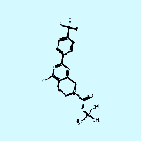 CC(C)(C)OC(=O)N1CCc2c(Cl)nc(-c3ccc(C(F)(F)F)cc3)nc2C1